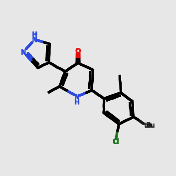 Cc1cc(C(C)(C)C)c(Cl)cc1-c1cc(=O)c(-c2cn[nH]c2)c(C)[nH]1